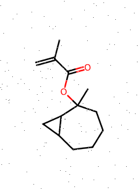 C=C(C)C(=O)OC1(C)CCCCC2CC21